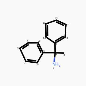 CC(N)(c1cc[c]cc1)c1ccccc1